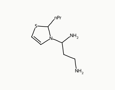 CCCC1SC=CN1C(N)CCN